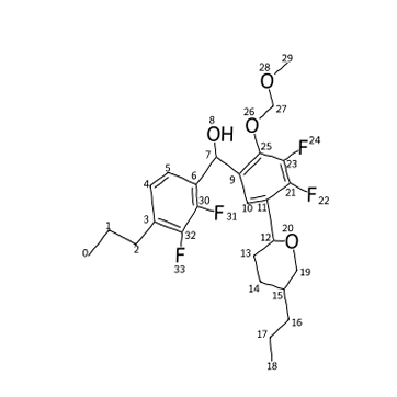 CCCc1ccc(C(O)c2cc(C3CCC(CCC)CO3)c(F)c(F)c2OCOC)c(F)c1F